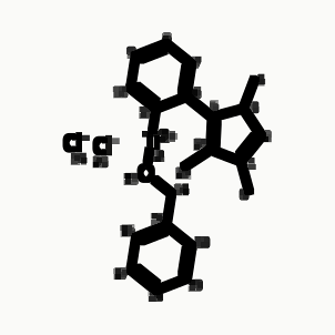 CC1=CC(C)C(c2cccc[c]2[Ti+2][O]Cc2ccccc2)=C1C.[Cl-].[Cl-]